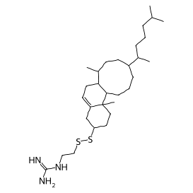 CC(C)CCCC(C)C1CCCC2C(CC=C3CC(SSCCNC(=N)N)CCC32C)C(C)CC1